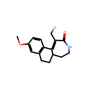 COc1ccc2c(c1)CCC1CCNC(=O)C(CCl)=C21